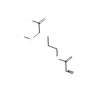 C=CC(=O)NCCC[C@H](NC)C(=O)O